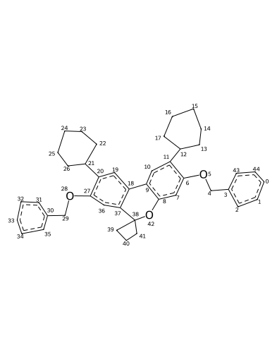 c1ccc(COc2cc3c(cc2C2CCCCC2)-c2cc(C4CCCCC4)c(OCc4ccccc4)cc2C2(CCC2)O3)cc1